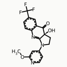 COc1cc(N2CC[C@@]3(O)C(=O)c4cc(C(F)(F)F)ccc4N=C23)ccn1